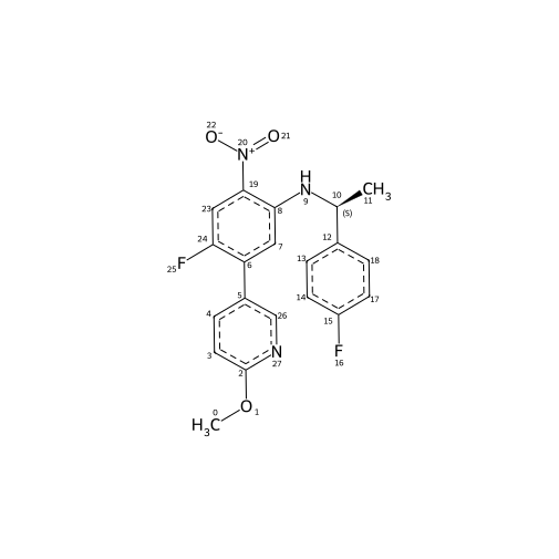 COc1ccc(-c2cc(N[C@@H](C)c3ccc(F)cc3)c([N+](=O)[O-])cc2F)cn1